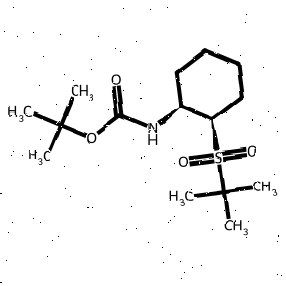 CC(C)(C)OC(=O)N[C@H]1CCCC[C@H]1S(=O)(=O)C(C)(C)C